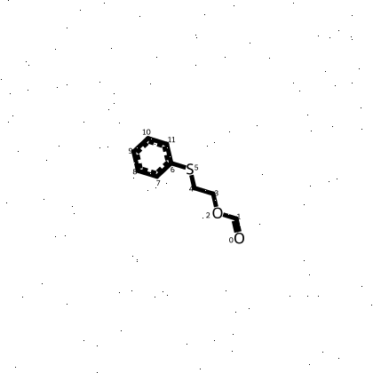 O=COCCSc1ccccc1